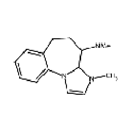 CNC1CCc2ccccc2N2C=CN(C)C12